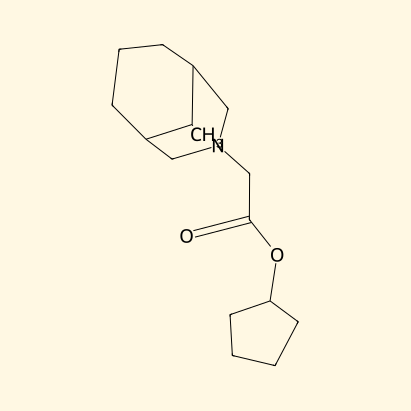 CC1C2CCCC1CN(CC(=O)OC1CCCC1)C2